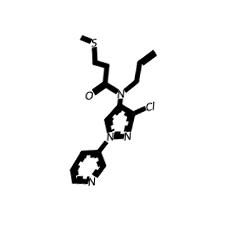 C=CCN(C(=O)CCSC)c1cn(-c2cccnc2)nc1Cl